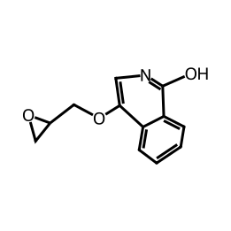 Oc1ncc(OCC2CO2)c2ccccc12